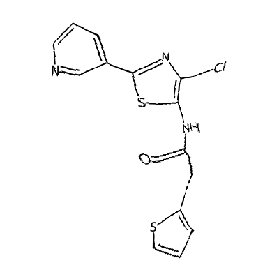 O=C(Cc1cccs1)Nc1sc(-c2cccnc2)nc1Cl